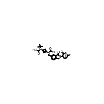 CC(C)(C)N(C(=O)O)C12CC(N(Cc3ccc4c(c3)C(=O)N(C3CCC(=O)NC3=O)C4)C(=O)O)(C1)C2